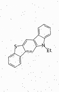 CCn1c2ccccc2c2cc3sc4ccccc4c3cc21